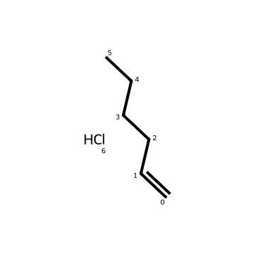 C=CCCCC.Cl